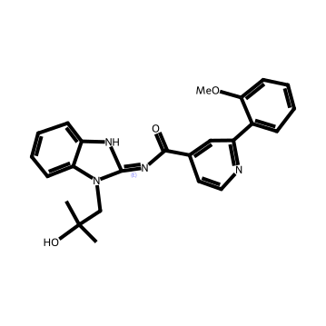 COc1ccccc1-c1cc(C(=O)/N=c2\[nH]c3ccccc3n2CC(C)(C)O)ccn1